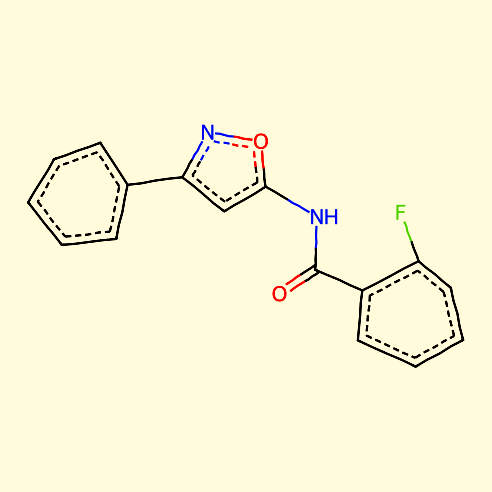 O=C(Nc1cc(-c2ccccc2)no1)c1ccccc1F